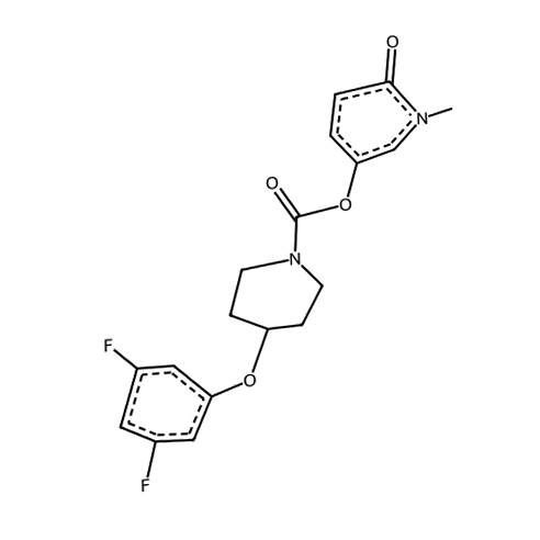 Cn1cc(OC(=O)N2CCC(Oc3cc(F)cc(F)c3)CC2)ccc1=O